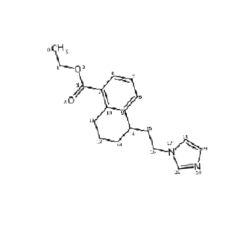 CCOC(=O)c1cccc2c1CCCC2CCn1ccnc1